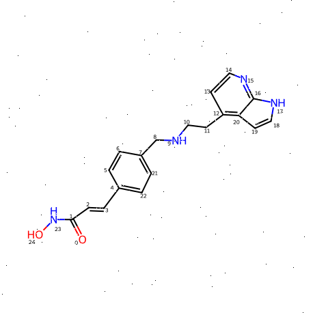 O=C(/C=C/c1ccc(CNCCc2ccnc3[nH]ccc23)cc1)NO